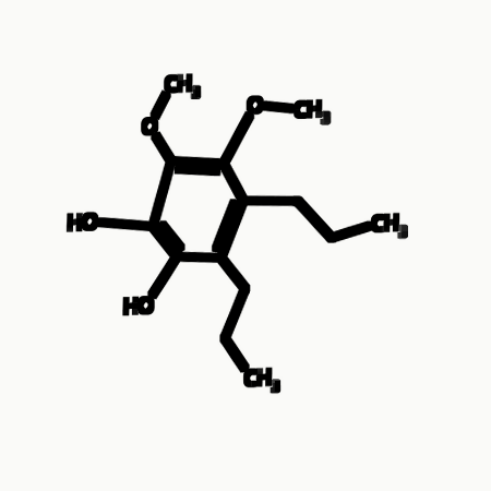 CCCc1c(O)c(O)c(OC)c(OC)c1CCC